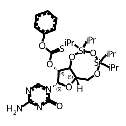 CC(C)[Si]1(C(C)C)OC[C@@H]2O[C@H](n3cnc(N)nc3=O)[C@H](OC(=S)Oc3ccccc3)C2O[Si](C(C)C)(C(C)C)O1